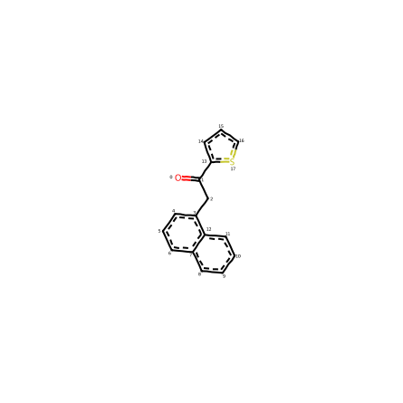 O=C(Cc1cccc2ccccc12)c1cccs1